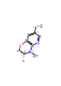 CCN1c2ncc(C=O)cc2OC[C@H]1C